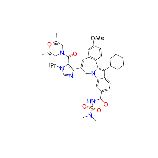 COc1ccc2c(c1)C=C(c1ncn(C(C)C)c1C(=O)N1C[C@@H](C)O[C@@H](C)C1)Cn1c-2c(C2CCCCC2)c2ccc(C(=O)NS(=O)(=O)N(C)C)cc21